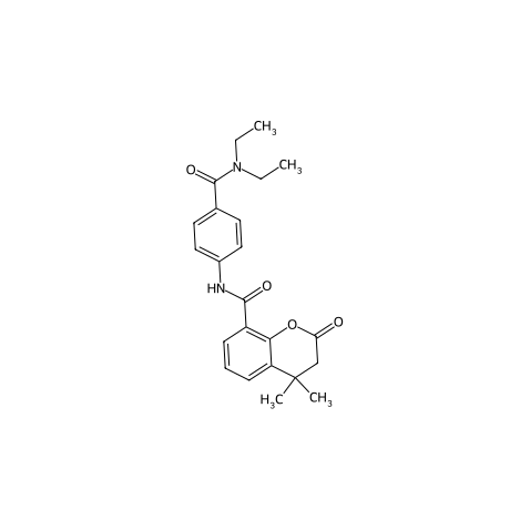 CCN(CC)C(=O)c1ccc(NC(=O)c2cccc3c2OC(=O)CC3(C)C)cc1